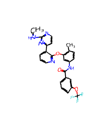 CNc1nccc(-c2cccnc2Oc2cc(NC(=O)c3cccc(OC(F)(F)F)c3)ccc2C)n1